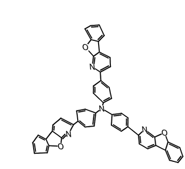 c1ccc2c(c1)oc1nc(-c3ccc(N(c4ccc(-c5ccc6c(n5)oc5ccccc56)cc4)c4ccc(-c5ccc6c(n5)oc5ccccc56)cc4)cc3)ccc12